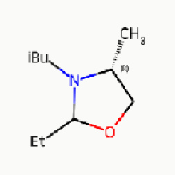 CCC(C)N1C(CC)OC[C@H]1C